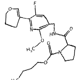 CCCCOC(=O)N1CCCC1C(=O)NCc1cc(F)c(C2=COCCC2)nc1OC